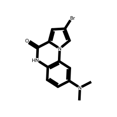 CN(C)c1ccc2[nH]c(=O)c3cc(Br)cn3c2c1